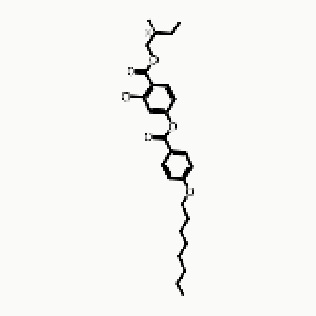 CCCCCCCCOc1ccc(C(=O)Oc2ccc(C(=O)OC[C@@H](C)CC)c(Cl)c2)cc1